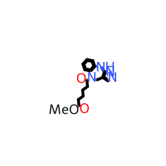 COC(=O)CCCCC(=O)N1Cc2cnn(C)c2Nc2ccccc21